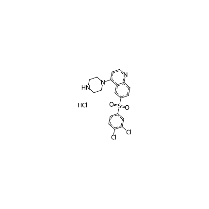 Cl.O=S(=O)(c1ccc(Cl)c(Cl)c1)c1ccc2nccc(N3CCNCC3)c2c1